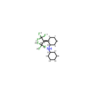 FC(F)(F)C(=C1CCCCC1NC1CCCCC1)C(F)(F)F